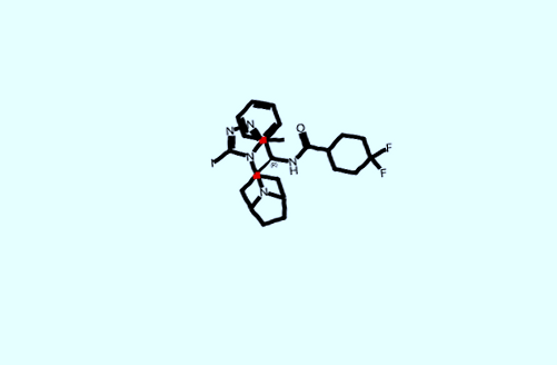 Cc1nnc(I)n1C1CC2CCC(C1)N2C[C@H](NC(=O)C1CCC(F)(F)CC1)c1ccccc1